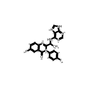 CC(Nc1ncnc2[nH]cnc12)c1nc2ccc(F)cc2c(=O)n1-c1ccc(F)cc1